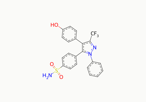 NS(=O)(=O)c1ccc(-c2c(-c3ccc(O)cc3)c(C(F)(F)F)nn2-c2ccccc2)cc1